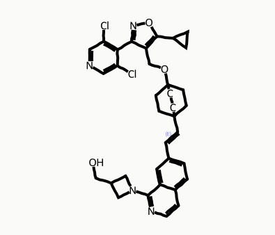 OCC1CN(c2nccc3ccc(/C=C/C45CCC(OCc6c(-c7c(Cl)cncc7Cl)noc6C6CC6)(CC4)CC5)cc23)C1